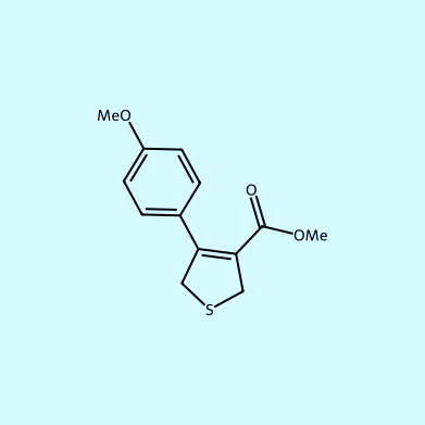 COC(=O)C1=C(c2ccc(OC)cc2)CSC1